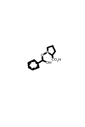 O=C(O)C1CCCN1OC(O)c1ccccc1